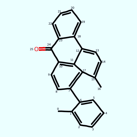 Cc1ccccc1-c1ccc2c3c(ccc(C)c13)-c1ccccc1C2=O